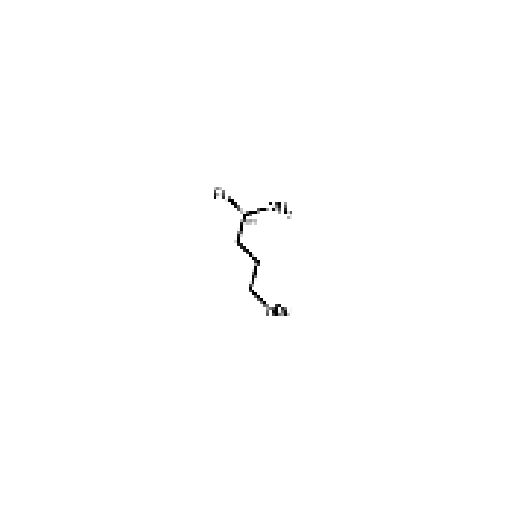 CCCCCCC[C@H](N)CC